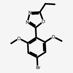 CCc1nnc(-c2c(OC)cc(Br)cc2OC)o1